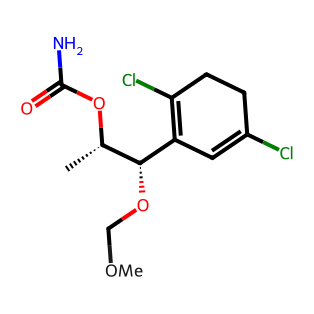 COCO[C@@H](C1=C(Cl)CCC(Cl)=C1)[C@H](C)OC(N)=O